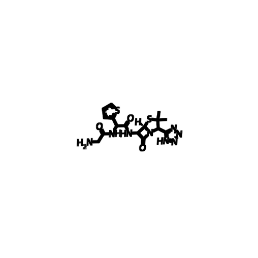 CC1(C)S[C@@H]2C(NC(=O)C(NC(=O)CN)c3cccs3)C(=O)N2C1c1nnn[nH]1